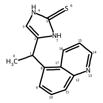 CC(c1c[nH]c(=S)[nH]1)c1cccc2ncccc12